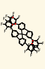 Fc1c(F)c(F)c(-c2ccc3c(c2)C2(c4cc(-c5c(F)c(F)c(F)c(F)c5F)ccc4-3)c3cc(-c4c(F)c(F)c(F)c(F)c4F)ccc3-c3ccc(-c4c(F)c(F)c(F)c(F)c4F)cc32)c(F)c1F